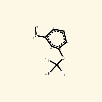 COc1[c]ccc(SC(F)(F)F)c1